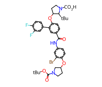 CC(C)(C)OC(=O)N1CC[C@H](Oc2ccc(NC(=O)c3ccc(OC4CCN(C(=O)O)C4C(C)(C)C)c(-c4ccc(F)c(F)c4)c3)cc2Br)C1